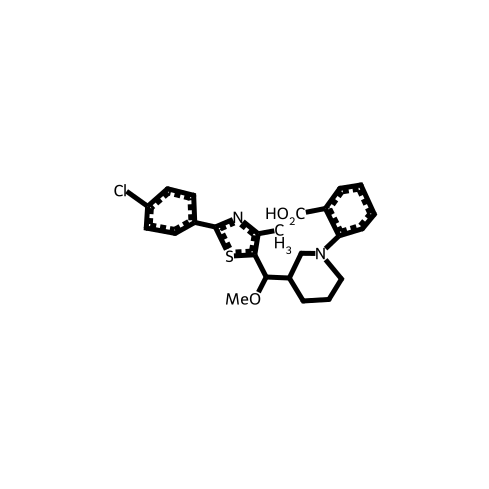 COC(c1sc(-c2ccc(Cl)cc2)nc1C)C1CCCN(c2ccccc2C(=O)O)C1